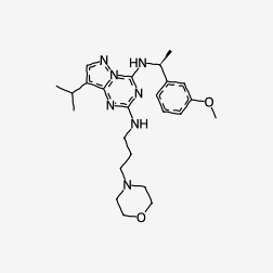 COc1cccc([C@H](C)Nc2nc(NCCCN3CCOCC3)nc3c(C(C)C)cnn23)c1